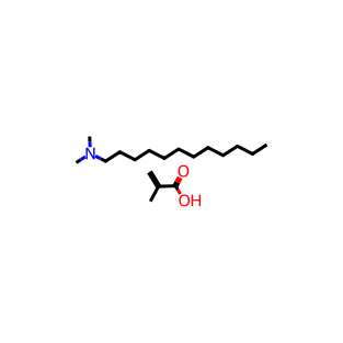 C=C(C)C(=O)O.CCCCCCCCCCCCN(C)C